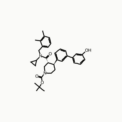 Cc1cccc(CN(C(=O)[C@H]2CN(C(=O)OC(C)(C)C)CC[C@@H]2c2cccc(-c3cccc(O)c3)c2)C2CC2)c1C